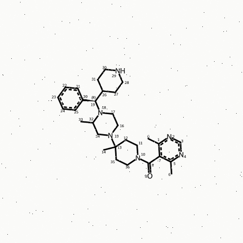 Cc1ncnc(C)c1C(=O)N1CCC(C)(N2CCN([C@@H](c3ccccc3)C3CCNCC3)C(C)C2)CC1